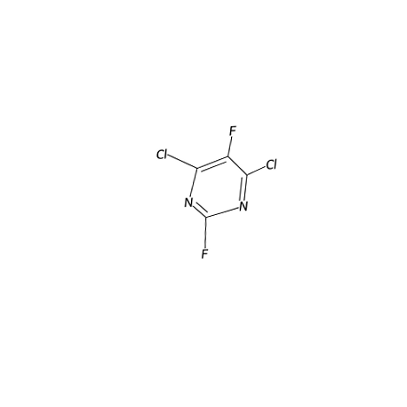 Fc1nc(Cl)c(F)c(Cl)n1